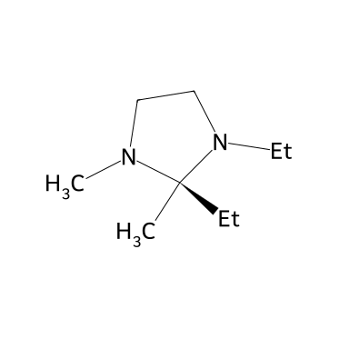 CCN1CCN(C)[C@]1(C)CC